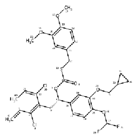 C=C/C(Cl)=C(C[C@H](OC(=O)SCc1ccc(OC)c(OC)c1)c1ccc(OC(F)F)c(OCC2CC2)c1)\C(Cl)=C/C